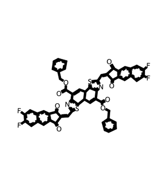 O=C(OCc1ccccc1)C1=CC2c3sc(C=C4C(=O)c5cc6cc(F)c(F)cc6cc5C4=O)nc3C(C(=O)OCc3ccccc3)=CC2c2sc(C=C3C(=O)c4cc5cc(F)c(F)cc5cc4C3=O)nc21